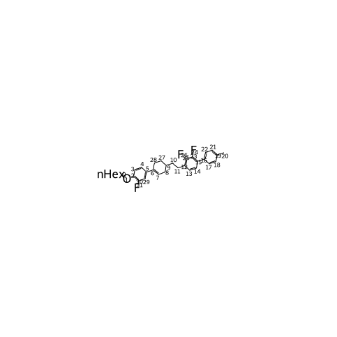 CCCCCCOc1ccc(C2=CCC(CCc3ccc(-c4ccc(C)cc4)c(F)c3F)CC2)cc1F